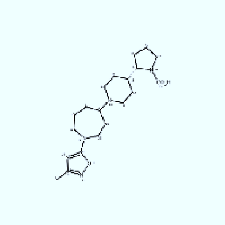 Cc1noc(N2CCCC(N3CCC([C@@H]4CCCN4C(=O)O)CC3)CC2)n1